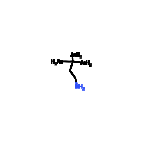 NCCC([AsH2])([AsH2])[AsH2]